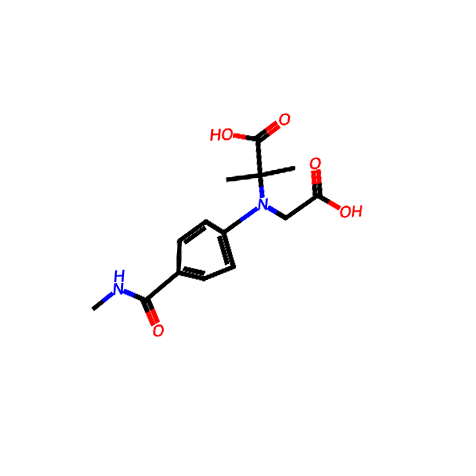 CNC(=O)c1ccc(N(CC(=O)O)C(C)(C)C(=O)O)cc1